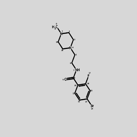 CN1CCN(CCNC(=O)c2ccc(Br)cc2F)CC1